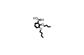 CCCCOc1cccc(B(O)O)c1OCCCC